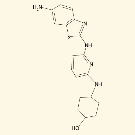 Nc1ccc2nc(Nc3cccc(NC4CCC(O)CC4)n3)sc2c1